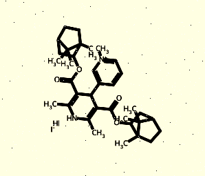 CC1=C(C(=O)OC2CC3CCC2(C)C3(C)C)C(c2ccc[n+](C)c2)C(C(=O)OC2CC3CCC2(C)C3(C)C)=C(C)N1.I.[I-]